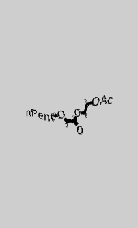 CCCCCOCC(=O)OCCOC(C)=O